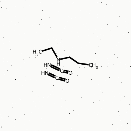 CCCNCC.N=C=O.N=C=O